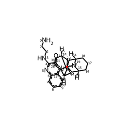 NCCNc1nc2ccccc2n([C@H]2C[C@H]3CCC[C@@H](C2)N3[C@]23C[C@H]4CCC2[C@H](C4)C3)c1=O